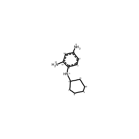 Nc1ccc(NC2CCCCC2)c(N)c1